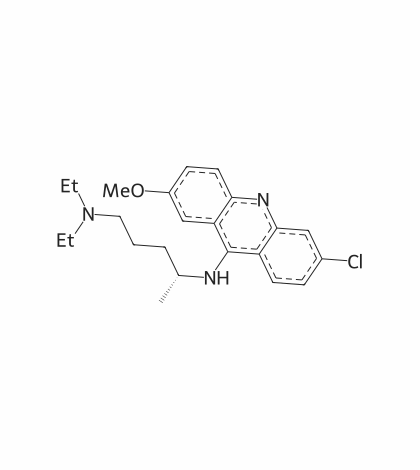 CCN(CC)CCC[C@@H](C)Nc1c2ccc(Cl)cc2nc2ccc(OC)cc12